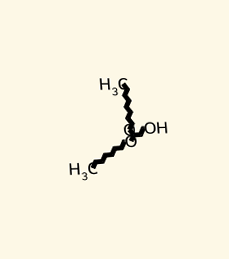 CCCCCCCCOC(CCO)OCCCCCCCC